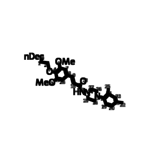 CCCCCCCCCCCCOc1c(OC)cc(C=CC(=O)NN2CCN(c3ccc(C)cc3C)CC2)cc1OC